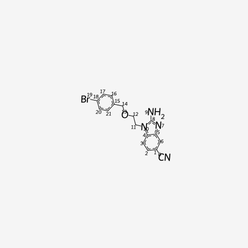 N#Cc1ccc2c(c1)nc(N)n2CCOCc1ccc(Br)cc1